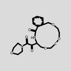 O=C1NC(C(=O)C(=O)N2CCOCC2)CCCCOCCOCc2ccccc21